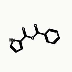 O=C(OC(=O)c1ccc[nH]1)c1ccccc1